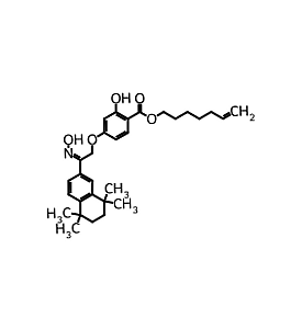 C=CCCCCCOC(=O)c1ccc(OCC(=NO)c2ccc3c(c2)C(C)(C)CCC3(C)C)cc1O